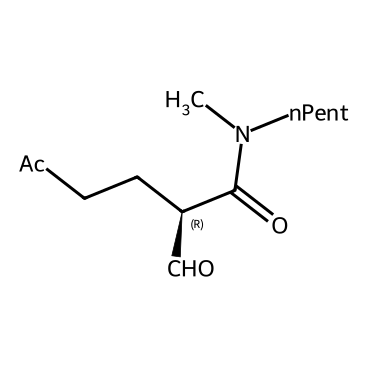 CCCCCN(C)C(=O)[C@@H](C=O)CCC(C)=O